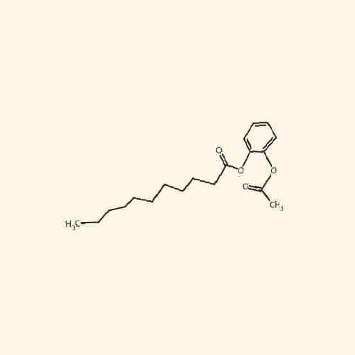 CCCCCCCCCCC(=O)Oc1ccccc1OC(C)=O